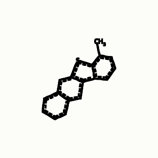 Cc1cccc2c1sc1cc3ccccc3cc12